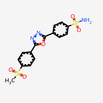 CS(=O)(=O)c1ccc(-c2nnc(-c3ccc(S(N)(=O)=O)cc3)o2)cc1